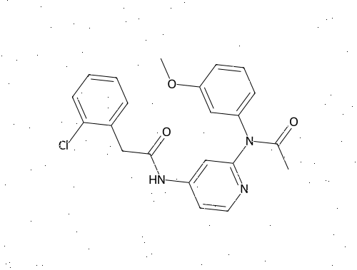 COc1cccc(N(C(C)=O)c2cc(NC(=O)Cc3ccccc3Cl)ccn2)c1